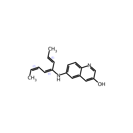 C\C=C/C=C(\C=C\C)Nc1ccc2ncc(O)cc2c1